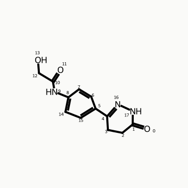 O=C1CCC(c2ccc(NC(=O)CO)cc2)=NN1